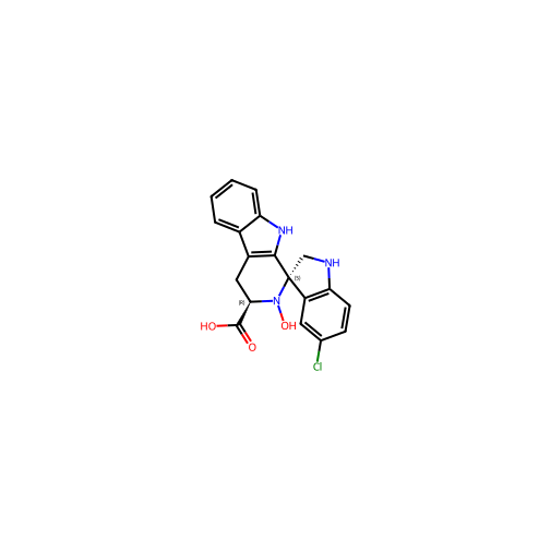 O=C(O)[C@H]1Cc2c([nH]c3ccccc23)[C@]2(CNc3ccc(Cl)cc32)N1O